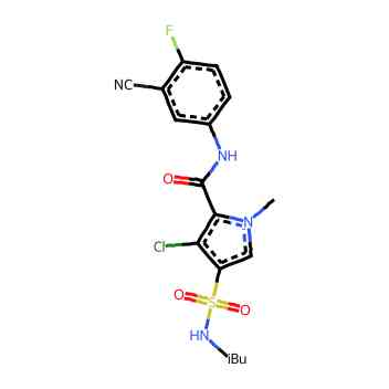 CCC(C)NS(=O)(=O)c1cn(C)c(C(=O)Nc2ccc(F)c(C#N)c2)c1Cl